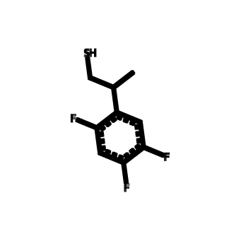 CC(CS)c1cc(F)c(F)cc1F